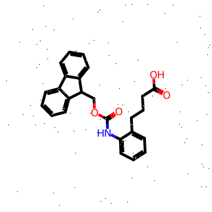 O=C(O)CCCc1ccccc1NC(=O)OCC1c2ccccc2-c2ccccc21